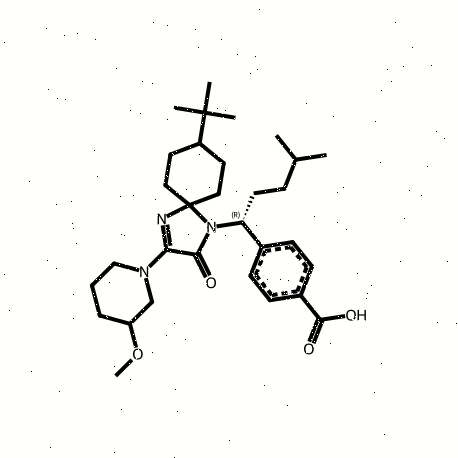 COC1CCCN(C2=NC3(CCC(C(C)(C)C)CC3)N([C@H](CCC(C)C)c3ccc(C(=O)O)cc3)C2=O)C1